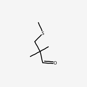 CSCC(C)(C)C=O